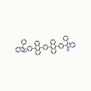 C1=CC2NC(c3ccc(-c4c5ccccc5c(-c5ccc(-c6c7ccccc7c(-c7ccc(C8=C(c9ccccc9)N9C=CC=CC9N8)cc7)c7ccccc67)cc5)c5ccccc45)cc3)=C(c3ccccc3)N2C=C1